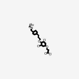 CC(C)(C)O/N=C/c1ccc(CCCOc2c(Cl)cc(OCC=C(Cl)Cl)cc2Cl)cc1